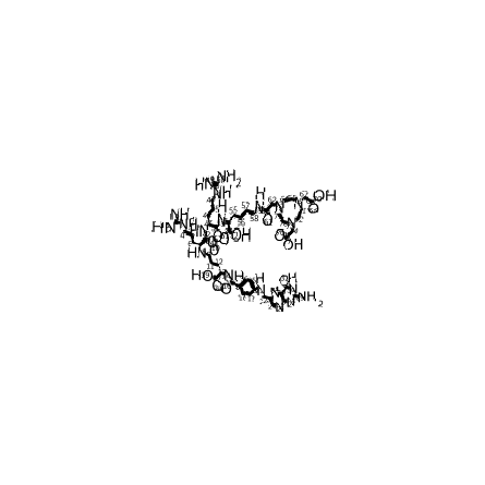 N=C(N)NCCC[C@H](NC(=O)CC[C@H](NC(=O)c1ccc(NCc2cnc3nc(N)[nH]c(=O)c3n2)cc1)C(=O)O)C(=O)N[C@@H](CCCNC(=N)N)C(=O)N[C@@H](CCCCNC(=O)CN1CCN(CC(=O)O)CCN(CC(=O)O)CC1)C(=O)O